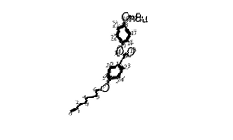 C=CCCCCCOc1ccc(C(=O)Oc2ccc(OCCCC)cc2)cc1